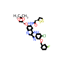 CC1(C)OC[C@@H](COc2cc3ncc(C#N)c(Nc4ccc(OCc5cccc(F)c5)c(Cl)c4)c3cc2NC(=O)C[C@H]2CCSS2)O1